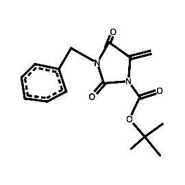 C=C1C(=O)N(Cc2ccccc2)C(=O)N1C(=O)OC(C)(C)C